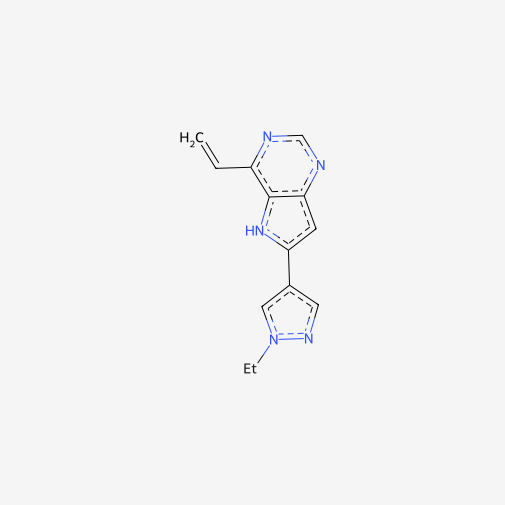 C=Cc1ncnc2cc(-c3cnn(CC)c3)[nH]c12